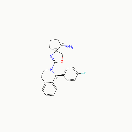 N[C@@H]1CCC[C@@]12COC(N1CCc3ccccc3[C@@H]1c1ccc(F)cc1)=N2